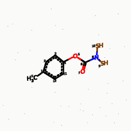 Cc1ccc(OC(=O)N(S)S)cc1